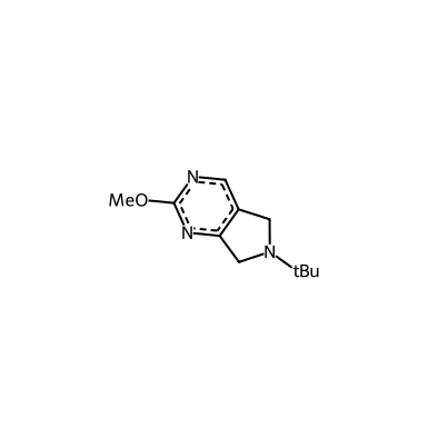 COc1ncc2c(n1)CN(C(C)(C)C)C2